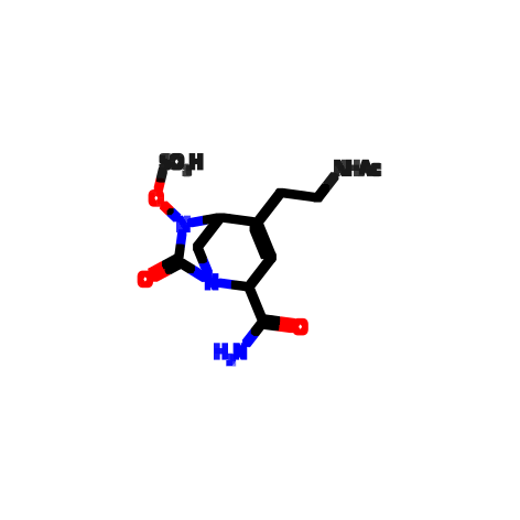 CC(=O)NCCC1=CC(C(N)=O)N2CC1N(OS(=O)(=O)O)C2=O